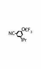 CC(C)c1cc(C#N)cc(OC(F)(F)F)c1